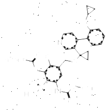 CCCCCC(=O)Oc1c(Cl)c(COC2(c3cnccc3-c3ccccc3OC3CC3)CC2)cc(NC(=O)OC(C)(C)C)c1S(N)(=O)=O